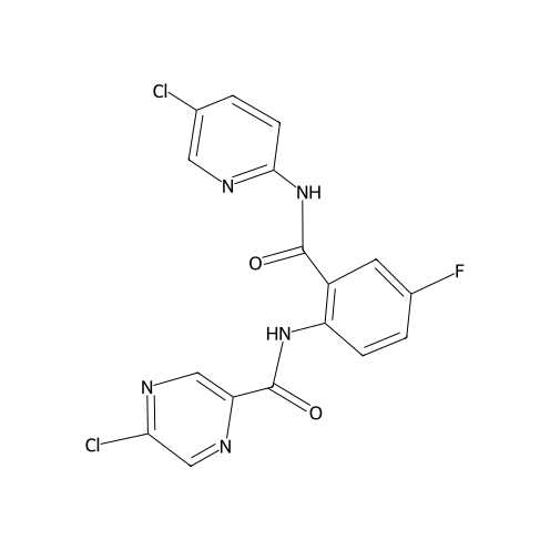 O=C(Nc1ccc(F)cc1C(=O)Nc1ccc(Cl)cn1)c1cnc(Cl)cn1